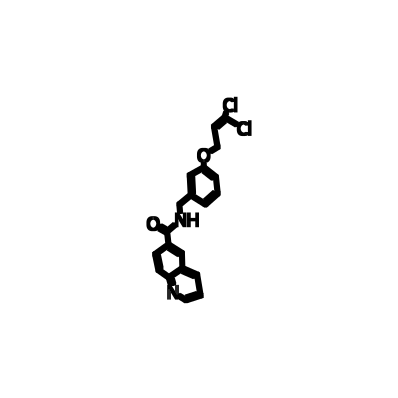 O=C(NCc1cccc(OCC=C(Cl)Cl)c1)c1ccc2ncccc2c1